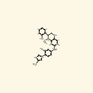 Cc1cn(-c2ccc(Nc3ncc4c(n3)N(C)C(c3ccccc3Cl)CO4)cc2F)cn1